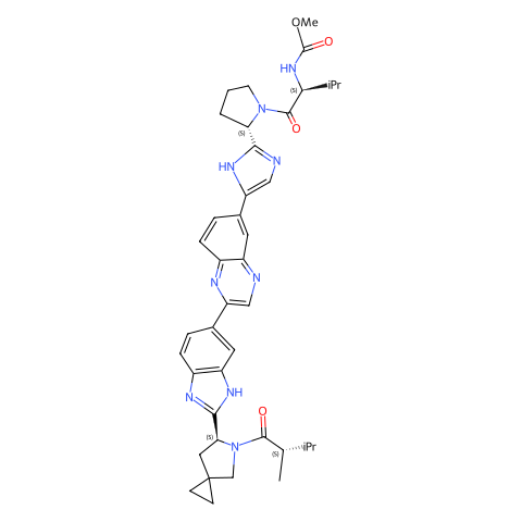 COC(=O)N[C@H](C(=O)N1CCC[C@H]1c1ncc(-c2ccc3nc(-c4ccc5nc([C@@H]6CC7(CC7)CN6C(=O)[C@@H](C)C(C)C)[nH]c5c4)cnc3c2)[nH]1)C(C)C